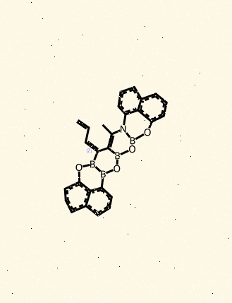 C=C/C=C1/B2Oc3cccc4cccc(c34)B2OB2OB3Oc4cccc5cccc(c45)N3C(C)=C21